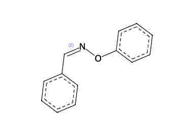 C(=N/Oc1ccccc1)/c1ccccc1